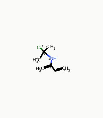 C=CC(=C)NC(C)(C)Cl